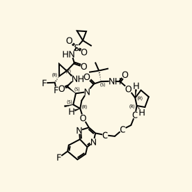 C[C@@H]1[C@@H]2CN(C(=O)[C@H](C(C)(C)C)NC(=O)O[C@@H]3CCC[C@H]3CCCCCc3nc4ccc(F)cc4nc3O2)[C@@H]1C(=O)N[C@]1(C(=O)NS(=O)(=O)C2(C)CC2)C[C@H]1C(F)F